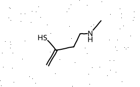 C=C(S)CCNC